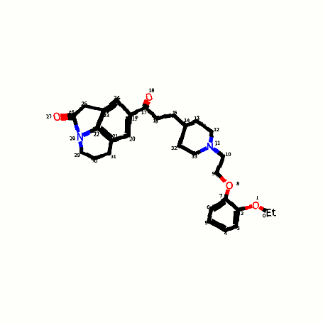 CCOc1ccccc1OCCN1CCC(CCC(=O)c2cc3c4c(c2)CC(=O)N4CCC3)CC1